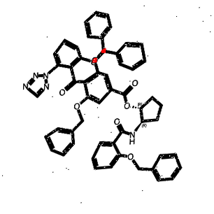 O=C(O[C@@H]1CCC[C@H]1NC(=O)c1ccccc1OCc1ccccc1)c1cc(OCc2ccccc2)c(C(=O)c2c(OCc3ccccc3)cccc2-n2ncnn2)c(OCc2ccccc2)c1